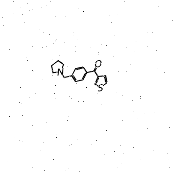 O=C(c1ccc(CN2CCCC2)cc1)c1ccsc1